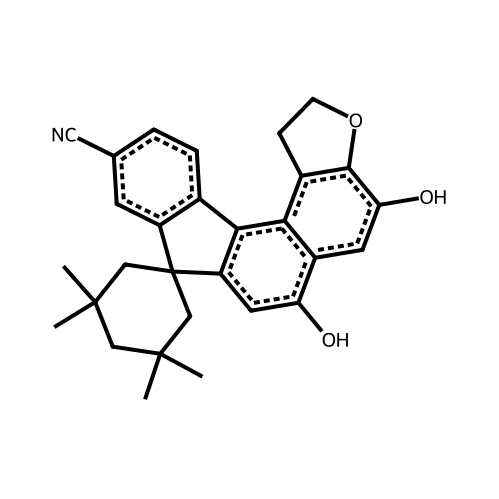 CC1(C)CC(C)(C)CC2(C1)c1cc(C#N)ccc1-c1c2cc(O)c2cc(O)c3c(c12)CCO3